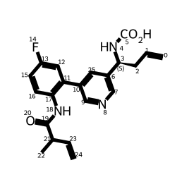 C=CC[C@H](NC(=O)O)c1cncc(-c2cc(F)ccc2NC(=O)C(C)C=C)c1